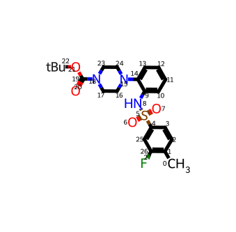 Cc1ccc(S(=O)(=O)Nc2ccccc2N2CCN(C(=O)OC(C)(C)C)CC2)cc1F